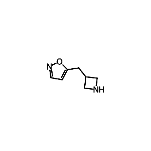 c1cc(CC2CNC2)on1